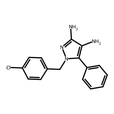 Nc1nn(Cc2ccc(Cl)cc2)c(-c2ccccc2)c1N